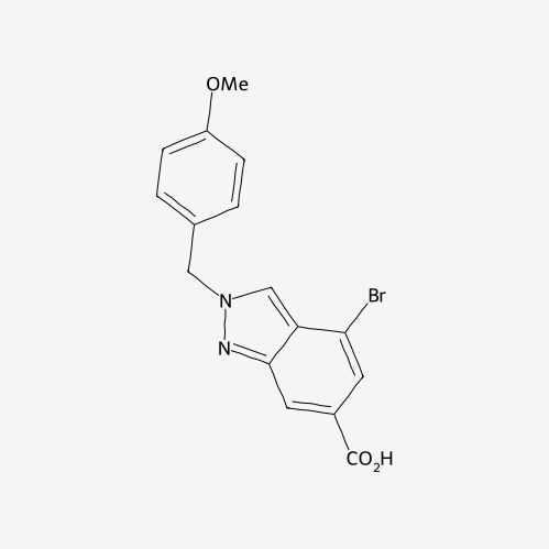 COc1ccc(Cn2cc3c(Br)cc(C(=O)O)cc3n2)cc1